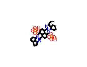 O=S(=O)(O)Oc1c2ccc3c4c(ccc(c24)c2nc4cccc5cccc(c54)n12)c(OS(=O)(=O)O)n1c2cccc4cccc(nc31)c42